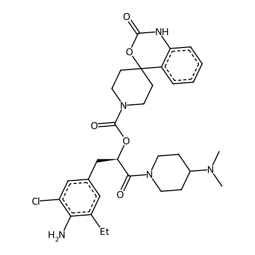 CCc1cc(C[C@@H](OC(=O)N2CCC3(CC2)OC(=O)Nc2ccccc23)C(=O)N2CCC(N(C)C)CC2)cc(Cl)c1N